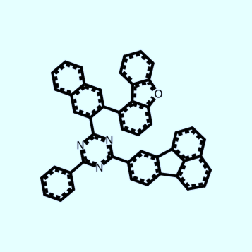 c1ccc(-c2nc(-c3ccc4c(c3)-c3cccc5cccc-4c35)nc(-c3cc4ccccc4cc3-c3cccc4oc5ccccc5c34)n2)cc1